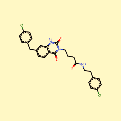 O=C(CCCn1c(=O)[nH]c2cc(Cc3ccc(Cl)cc3)ccc2c1=O)NCCc1ccc(Cl)cc1